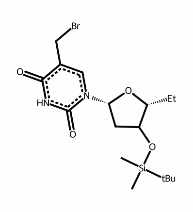 CC[C@H]1O[C@@H](n2cc(CBr)c(=O)[nH]c2=O)CC1O[Si](C)(C)C(C)(C)C